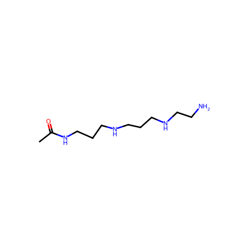 CC(=O)NCCCNCCCNCCN